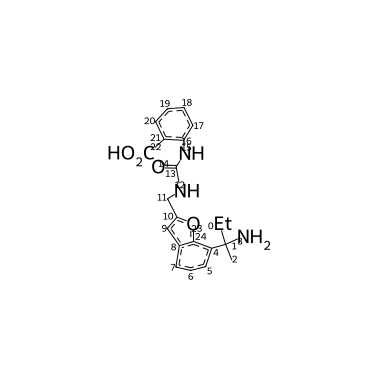 CCC(C)(N)c1cccc2cc(CNC(=O)Nc3ccccc3C(=O)O)oc12